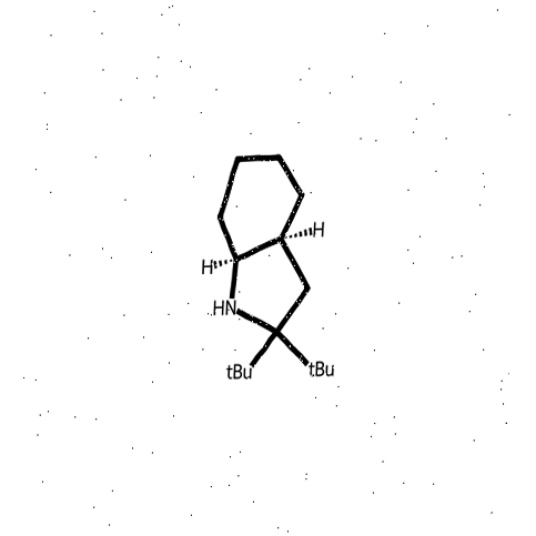 CC(C)(C)C1(C(C)(C)C)C[C@@H]2CCCC[C@@H]2N1